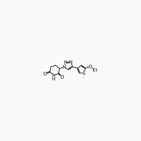 CCOc1cc(-c2cn(C3CCC(=O)NC3=O)nn2)cs1